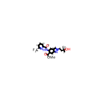 CCC(C)(O)CCn1cc2cc(NC(=O)c3cccc(C(F)(F)F)n3)c(C(=O)OC)cc2n1